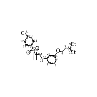 CCN(CC)CCOc1cccc(CCNS(=O)(=O)c2ccc(Cl)cc2)c1